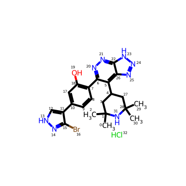 CC1(C)CC(c2c(-c3ccc(-c4c[nH]nc4Br)cc3O)nnc3[nH]nnc23)CC(C)(C)N1.Cl